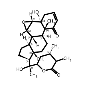 CC1C(=O)OC([C@](C)(O)[C@H]2CC[C@H]3[C@@H]4[C@@H]5O[C@@H]5[C@@]5(O)CC=CC(=O)[C@]5(C)[C@H]4CC[C@@]32C)C[C@@H]1C